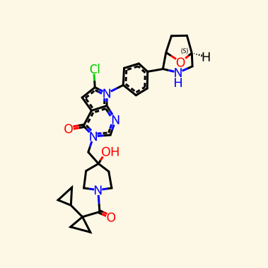 O=C(N1CCC(O)(Cn2cnc3c(cc(Cl)n3-c3ccc(C4NC[C@@H]5CCC4O5)cc3)c2=O)CC1)C1(C2CC2)CC1